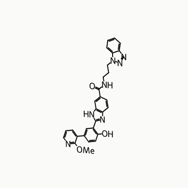 COc1ncccc1-c1ccc(O)c(-c2nc3ccc(C(=O)NCCCn4nnc5ccccc54)cc3[nH]2)c1